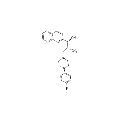 C[C@H](CN1CCN(c2ccc(F)cc2)CC1)[C@H](O)c1ccc2ccccc2c1